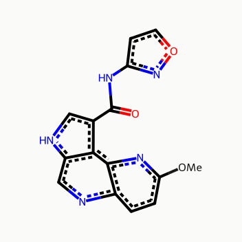 COc1ccc2ncc3[nH]cc(C(=O)Nc4ccon4)c3c2n1